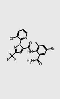 Cc1cc(Br)cc(C(N)=O)c1NC(=O)c1cc(C(F)(F)F)nn1-c1ncccc1Cl